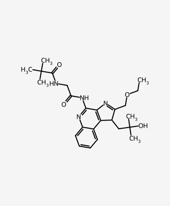 CCOCC1=Nc2c(NC(=O)CNC(=O)C(C)(C)C)nc3ccccc3c2C1CC(C)(C)O